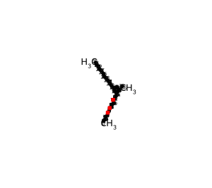 CCCCCCCCCCCCCCCc1cc(CCCCCCCCCCCCCCC)c[n+](CC)c1